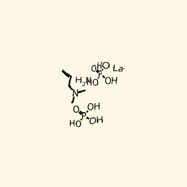 C=CCN(C)C.N.O=P(O)(O)O.O=P(O)(O)O.[La]